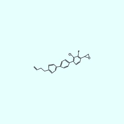 C=CCCc1ccc(-c2ccc(-c3ccc(C4CO4)c(F)c3Cl)cc2)cc1